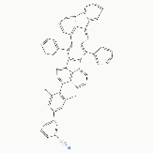 Cc1cc(-c2cccc(C#N)c2)cc(C)c1-c1ccc2c3c(-c4ccccc4)c4c(cc5c6ccccc6c6cccc4c65)c(-c4ccccc4)c3c3cccc1c32